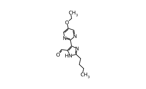 CCCCc1nc(-c2ncc(OCC)cn2)c(C=O)[nH]1